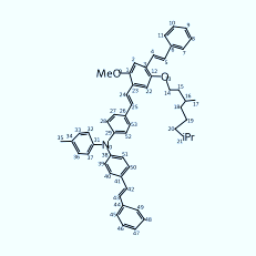 COc1cc(C=Cc2ccccc2)c(OCCC(C)CCCC(C)C)cc1C=Cc1ccc(N(c2ccc(C)cc2)c2ccc(C=Cc3ccccc3)cc2)cc1